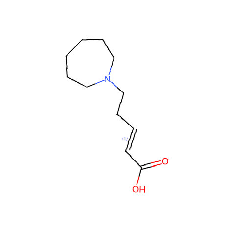 O=C(O)/C=C/CCN1CCCCCC1